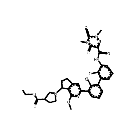 CCOC(=O)C1CCN(C2CCc3cc(-c4cccc(-c5cccc(NC(=O)c6nn(C)c(=O)n(C)c6=O)c5Cl)c4Cl)nc(OC)c32)C1